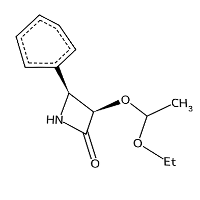 CCOC(C)O[C@H]1C(=O)N[C@H]1c1ccccc1